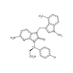 Cc1cccc2c1c(Cn1c(=O)n([C@H](CC(=O)O)c3ccc(F)cc3)c3nc(N)ccc31)cn2C